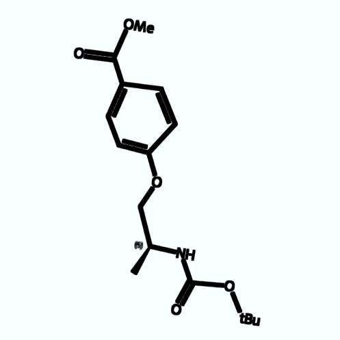 COC(=O)c1ccc(OC[C@H](C)NC(=O)OC(C)(C)C)cc1